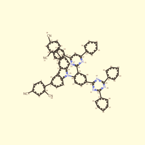 N#Cc1ccc(-c2ccc3c(c2)c2cc(-c4ccc(C#N)cc4C#N)ccc2n3-c2ccc(-c3nc(-c4ccccc4)nc(-c4ccccc4)n3)cc2-c2nc(-c3ccccc3)cc(-c3ccccc3)n2)c(C#N)c1